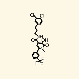 Cn1c(-c2cccc(C(F)(F)F)c2)cc(C(=O)NCCCc2ccc(Cl)c(Cl)c2)c(O)c1=O